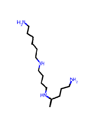 CC(CCCN)NCCCCNCCCCCCN